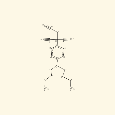 CCCCN(CCCC)c1ccc(C(C#N)(C#N)CC#N)cc1